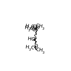 CCC(C)OCCC(O)CSCCC[Si](OC)(OC)OC